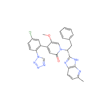 COc1cn(C(Cc2ccccc2)c2nc3ccc(C)nc3[nH]2)c(=O)cc1-c1cc(Cl)ccc1-n1cnnn1